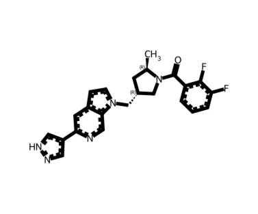 C[C@@H]1C[C@@H](Cn2ccc3cc(-c4cn[nH]c4)ncc32)CN1C(=O)c1cccc(F)c1F